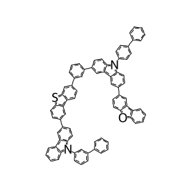 c1ccc(-c2ccc(-n3c4ccc(-c5cccc(-c6ccc7c(c6)sc6ccc(-c8ccc9c(c8)c8ccccc8n9-c8cccc(-c9ccccc9)c8)cc67)c5)cc4c4cc(-c5ccc6oc7ccccc7c6c5)ccc43)cc2)cc1